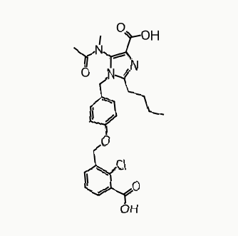 CCCCc1nc(C(=O)O)c(N(C)C(C)=O)n1Cc1ccc(OCc2cccc(C(=O)O)c2Cl)cc1